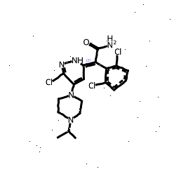 CC(C)N1CCN(C2=C/C(=C(/C(N)=O)c3c(Cl)cccc3Cl)NN=C2Cl)CC1